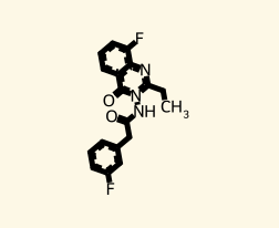 CCc1nc2c(F)cccc2c(=O)n1NC(=O)Cc1cccc(F)c1